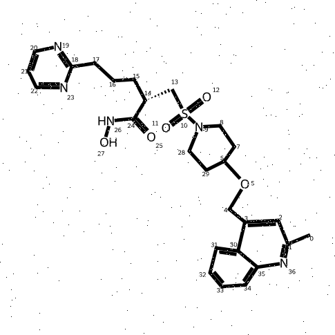 Cc1cc(COC2CCN(S(=O)(=O)C[C@@H](CCCc3ncccn3)C(=O)NO)CC2)c2ccccc2n1